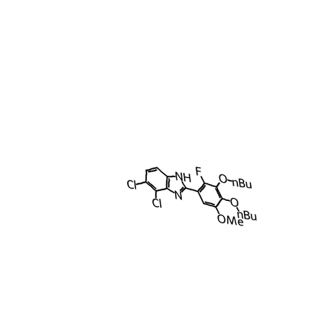 CCCCOc1c(OC)cc(-c2nc3c(Cl)c(Cl)ccc3[nH]2)c(F)c1OCCCC